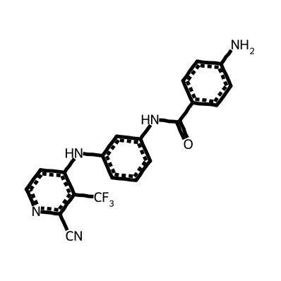 N#Cc1nccc(Nc2cccc(NC(=O)c3ccc(N)cc3)c2)c1C(F)(F)F